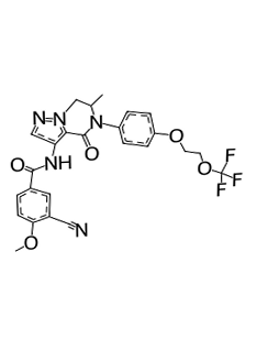 COc1ccc(C(=O)Nc2cnn3c2C(=O)N(c2ccc(OCCOC(F)(F)F)cc2)C(C)C3)cc1C#N